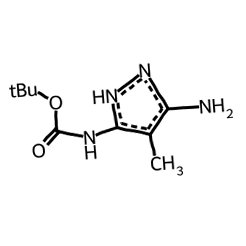 Cc1c(N)n[nH]c1NC(=O)OC(C)(C)C